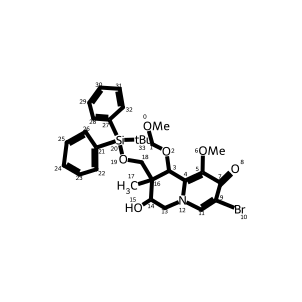 COCOC1c2c(OC)c(=O)c(Br)cn2CC(O)C1(C)CO[Si](c1ccccc1)(c1ccccc1)C(C)(C)C